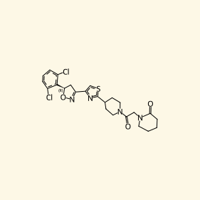 O=C(CN1CCCCC1=O)N1CCC(c2nc(C3=NO[C@@H](c4c(Cl)cccc4Cl)C3)cs2)CC1